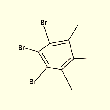 Cc1c(C)c(Br)c(Br)c(Br)c1C